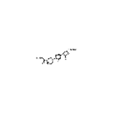 CC(=O)NC[C@H]1CN(c2ccc(N3CCNN(C(=O)CN)CC3)c(F)c2)C(=O)O1